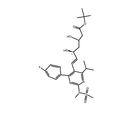 CC(C)c1nc(N(C)S(C)(=O)=O)nc(-c2ccc(F)cc2)c1/C=C/[C@@H](O)CC(O)CC(=O)OC(C)(C)C